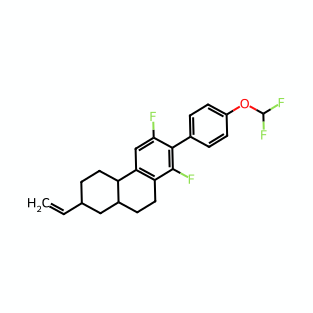 C=CC1CCC2c3cc(F)c(-c4ccc(OC(F)F)cc4)c(F)c3CCC2C1